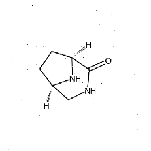 O=C1NC[C@H]2CC[C@@H]1N2